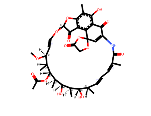 CO[C@H]1/C=C/O[C@@]2(C)Oc3c(C)c(O)c4c(c3C2=O)C2(C=C(NC(=O)/C(C)=C\C=C\[C@H](C)[C@H](O)[C@@H](C)[C@@H](O)[C@@H](C)[C@H](OC(C)=O)[C@@H]1C)C4=O)OCC(=O)O2